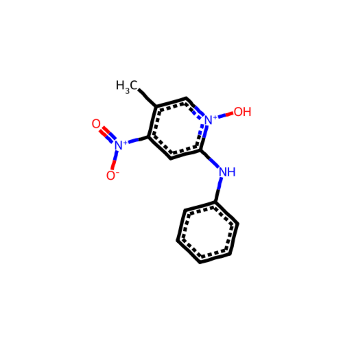 Cc1c[n+](O)c(Nc2ccccc2)cc1[N+](=O)[O-]